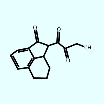 CCC(=O)C(=O)C1C(=O)c2cccc3c2C1CCC3